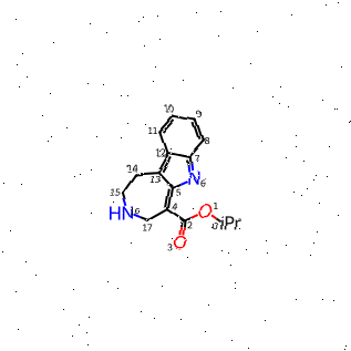 CC(C)OC(=O)C1=C2N=c3ccccc3=C2CCNC1